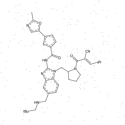 Cc1ncc(-c2ccc(C(=O)Nc3nc4cc(CNCC(C)(C)C)ccc4n3CC3CCCN3C(=O)C(C#N)=CC(C)C)s2)o1